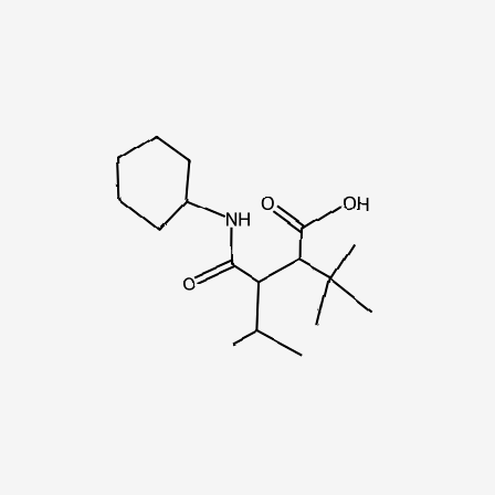 CC(C)C(C(=O)NC1CCCCC1)C(C(=O)O)C(C)(C)C